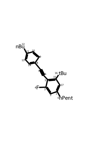 CCCCCc1cc(F)c(C#Cc2ccc(CCCC)cc2)c(C(C)(C)C)c1